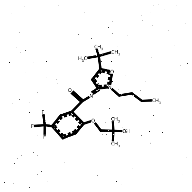 CCCCn1oc(C(C)(C)C)cc1=NC(=O)c1cc(C(F)(F)F)ccc1OCC(C)(C)O